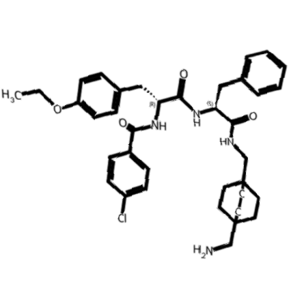 CCOc1ccc(C[C@@H](NC(=O)c2ccc(Cl)cc2)C(=O)N[C@@H](Cc2ccccc2)C(=O)NCC23CCC(CN)(CC2)CC3)cc1